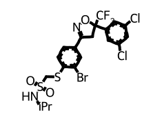 CC(C)NS(=O)(=O)CSc1ccc(C2=NOC(c3cc(Cl)cc(Cl)c3)(C(F)(F)F)C2)cc1Br